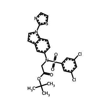 CC(C)(C)OC(=O)CN(c1ccc2c(ccn2-c2nccs2)c1)S(=O)(=O)c1cc(Cl)cc(Cl)c1